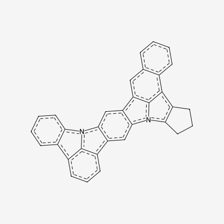 c1ccc2c(c1)cc1c3cc4c(cc3n3c5c(c2c13)CCC5)c1cccc2c3ccccc3n4c21